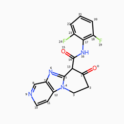 O=C1CCn2c(nc3cnccc32)C1C(=O)Nc1c(F)cccc1F